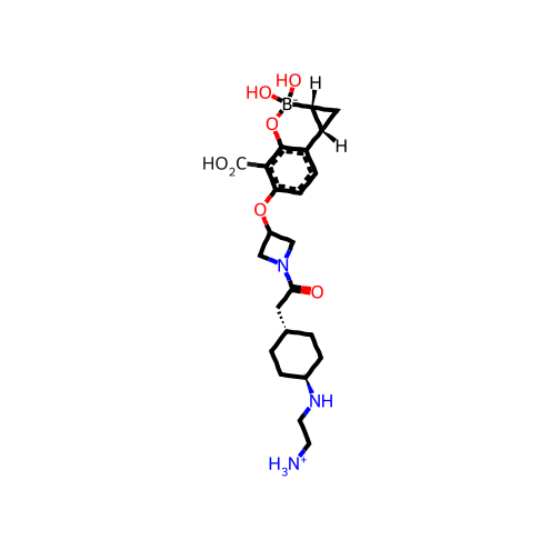 [NH3+]CCN[C@H]1CC[C@H](CC(=O)N2CC(Oc3ccc4c(c3C(=O)O)O[B-](O)(O)[C@@H]3C[C@H]43)C2)CC1